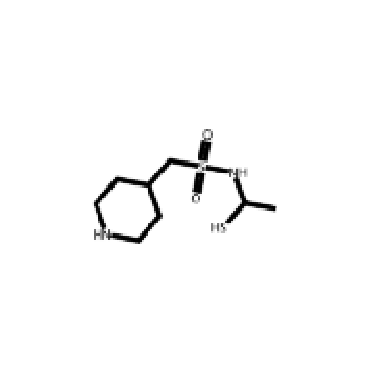 CC(S)NS(=O)(=O)CC1CCNCC1